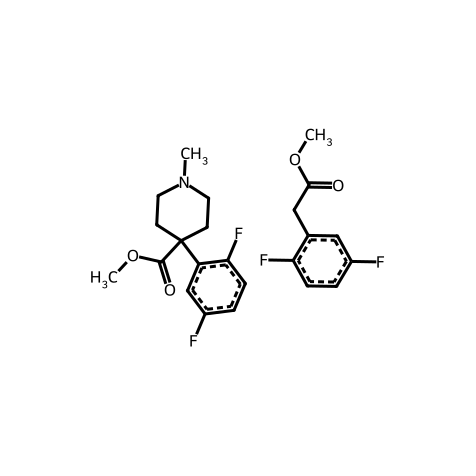 COC(=O)C1(c2cc(F)ccc2F)CCN(C)CC1.COC(=O)Cc1cc(F)ccc1F